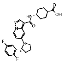 O=C(N[C@H]1CC[C@H](C(=O)O)CC1)c1cnn2ccc(N3CCC[C@@H]3c3cc(F)ccc3F)cc12